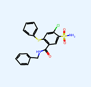 NS(=O)(=O)c1cc(C(=O)NCc2ccccc2)c(Sc2ccccc2)cc1Cl